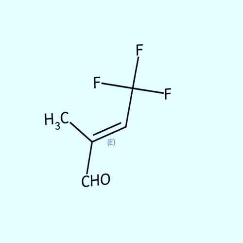 C/C(C=O)=C\C(F)(F)F